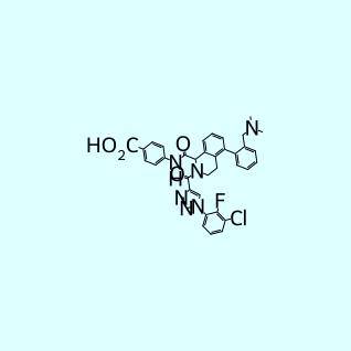 CN(C)Cc1ccccc1-c1cccc2c1CCN(C(=O)c1cn(-c3cccc(Cl)c3F)nn1)C2C(=O)Nc1ccc(C(=O)O)cc1